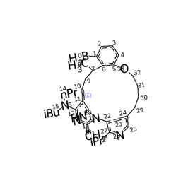 Bc1cccc2c1C(C)C/C=c1/c(N(CCC)C(C)CC)nc(=C)n(c1=N)-c1cc(cnc1C(C)C)CCCCO2